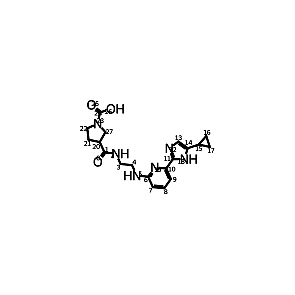 O=C(NCCNc1cccc(-c2ncc(C3CC3)[nH]2)n1)C1CCN(C(=O)O)C1